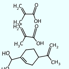 C=C(C)C(=O)O.C=C(C)C(=O)O.C=C(C)C1CC=C(C(O)O)CC1